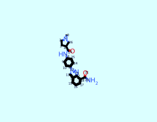 CN1CCC(C(=O)Nc2ccc(-n3cc4cccc(C(N)=O)c4n3)cc2)C1